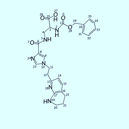 O=C(NC(CNC(=O)c1cn(CCc2ccc3c(n2)NCCC3)cn1)C(=O)O)OCc1ccccc1